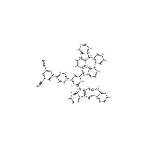 N#Cc1cc(C#N)cc(-c2ccc(-c3cc(-n4c5ccccc5c5cc6c(cc54)oc4ccccc46)cc(-n4c5ccccc5c5c4ccc4c6ccccc6n(-c6ccccc6)c45)c3)cc2)c1